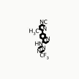 [C-]#[N+]c1cnc(-c2ccc3c(Nc4cnc(C(F)(F)F)cn4)ccnc3c2)c(C)c1